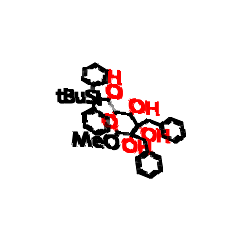 CO[C@H]1O[C@H](C(O)[Si](c2ccccc2)(c2ccccc2)C(C)(C)C)[C@@H](O)[C@@](O)(Cc2ccccc2)[C@]1(O)Cc1ccccc1